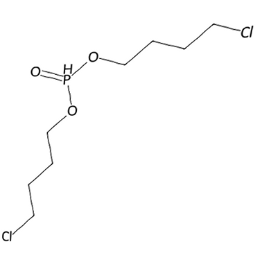 O=[PH](OCCCCCl)OCCCCCl